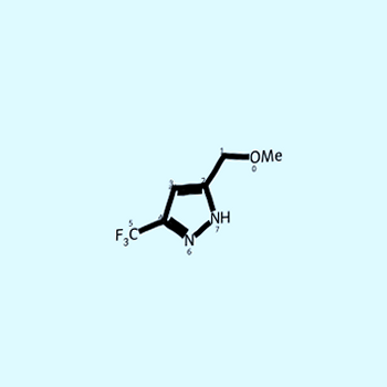 COCc1[c]c(C(F)(F)F)n[nH]1